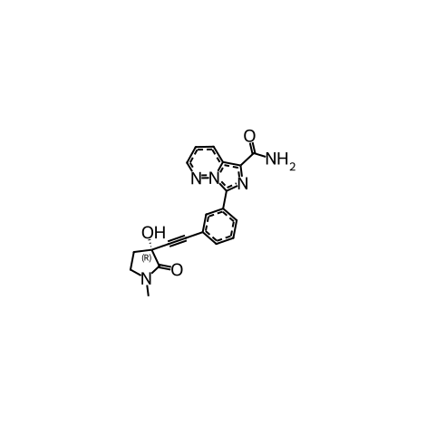 CN1CC[C@@](O)(C#Cc2cccc(-c3nc(C(N)=O)c4cccnn34)c2)C1=O